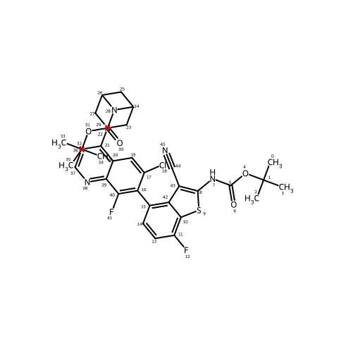 CC(C)(C)OC(=O)Nc1sc2c(F)ccc(-c3c(Cl)cc4c(N5CC6CC(C5)N6C(=O)OC(C)(C)C)ncnc4c3F)c2c1C#N